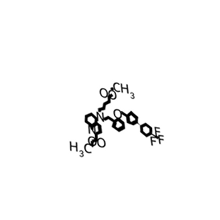 CCOC(=O)CCCCN(CCc1ccccc1OCc1ccc([C@H]2CC[C@H](C(F)(F)F)CC2)cc1)C1CCCc2nc(C(=O)OCC)ccc21